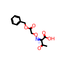 CC(=O)/C(=N/OCC(=O)OCc1ccccc1)C(=O)O